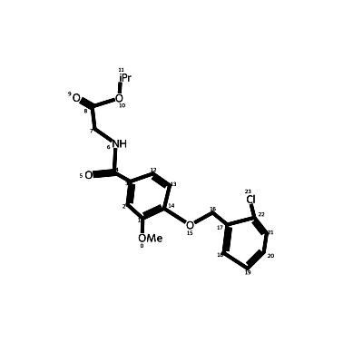 COc1cc(C(=O)NCC(=O)OC(C)C)ccc1OCc1ccccc1Cl